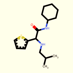 CC(C)CNC(C(=O)NC1CCCCC1)c1cccs1